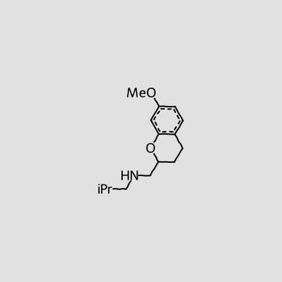 COc1ccc2c(c1)OC(CNCC(C)C)CC2